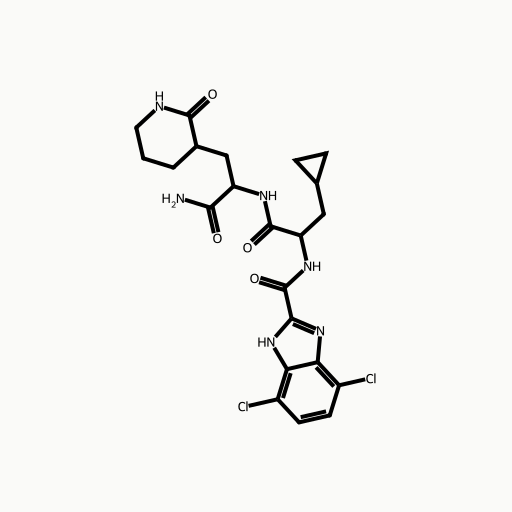 NC(=O)C(CC1CCCNC1=O)NC(=O)C(CC1CC1)NC(=O)c1nc2c(Cl)ccc(Cl)c2[nH]1